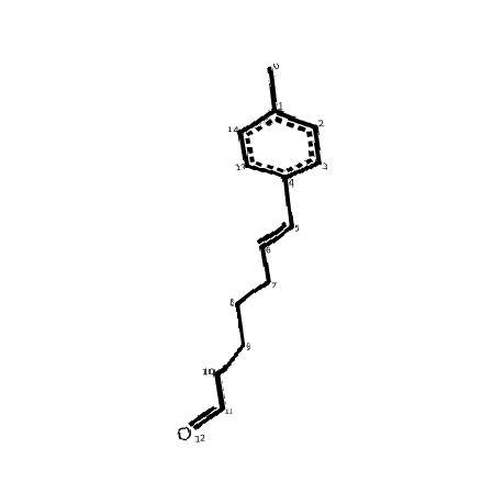 Cc1ccc(C=CCCCCC=O)cc1